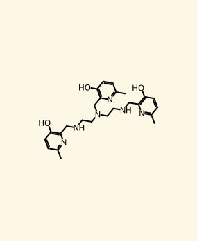 Cc1ccc(O)c(CNCCN(CCNCc2nc(C)ccc2O)Cc2nc(C)ccc2O)n1